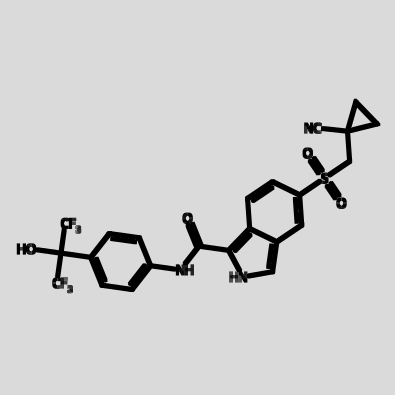 N#CC1(CS(=O)(=O)c2ccc3c(C(=O)Nc4ccc(C(O)(C(F)(F)F)C(F)(F)F)cc4)[nH]cc3c2)CC1